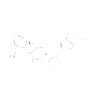 COc1ccc(CCC2(C3CCCC3)CC(O)=C(Sc3ncccc3C#N)C(=O)O2)cc1Cl